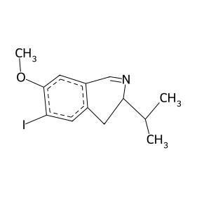 COc1cc2c(cc1I)CC(C(C)C)N=C2